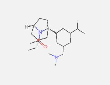 CC[C@@H]1C[C@@H]2CC[C@](C3CC(CN(C)C)CC(C(C)C)C3)(C1)N2C(C)=O